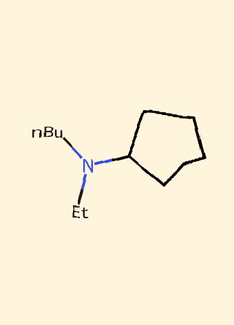 CCCCN(CC)C1CCCC1